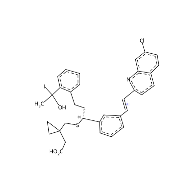 CC(O)(I)c1ccccc1CC[C@@H](SCC1(CC(=O)O)CC1)c1cccc(/C=C/c2ccc3ccc(Cl)cc3n2)c1